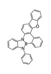 c1ccc(N2B3c4ccccc4-c4c(ccc5c4oc4ccccc45)N3c3ccccc32)cc1